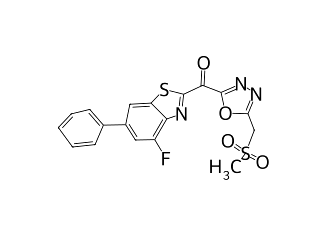 CS(=O)(=O)Cc1nnc(C(=O)c2nc3c(F)cc(-c4ccccc4)cc3s2)o1